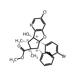 COC(=O)[C@]1(C)[C@@H](c2ccccc2)[C@]2(c3ccc(Br)cc3)Oc3cc(Cl)cnc3[C@]2(O)[C@H]1C